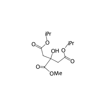 COC(=O)C(O)(CC(=O)OC(C)C)CC(=O)OC(C)C